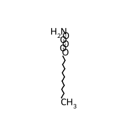 CCCCCCCCCCCCOOOOON